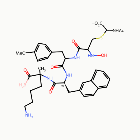 BC(=O)C(C)(CCCCN)NC(=O)[C@H](Cc1ccc2ccccc2c1)NC(=O)C(Cc1ccc(OC)cc1)NC(=O)C(CSC(NC(C)=O)C(=O)O)NO